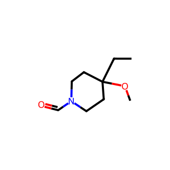 CCC1(OC)CCN(C=O)CC1